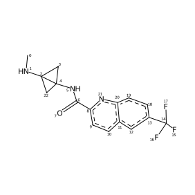 CNC12CC1(NC(=O)c1ccc3cc(C(F)(F)F)ccc3n1)C2